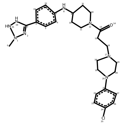 CN1N=C(c2ccc(NC3CCN(C(=O)CCN4CCN(c5ccc(Cl)cc5)CC4)CC3)cc2)NN1